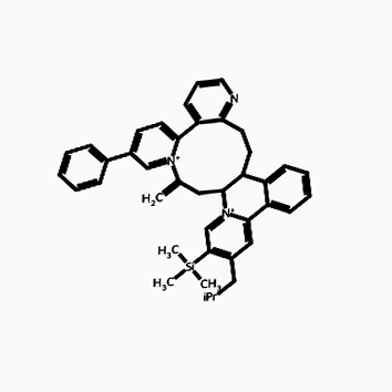 C=C1CC2C(CCc3ncccc3-c3ccc(-c4ccccc4)c[n+]31)c1ccccc1-c1cc(CC(C)C)c([Si](C)(C)C)c[n+]12